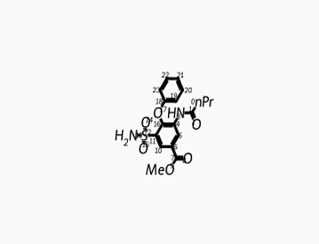 CCCC(=O)Nc1cc(C(=O)OC)cc(S(N)(=O)=O)c1Oc1ccccc1